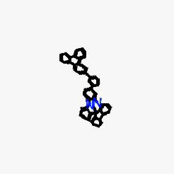 c1cc(-c2ccc3c(c2)nc2n3-c3ccccc3C23c2ccccc2-c2ccccc23)cc(-c2ccc3c4ccccc4c4ccccc4c3c2)c1